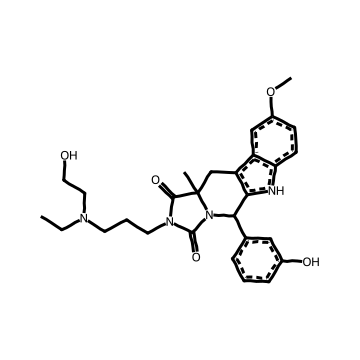 CCN(CCO)CCCN1C(=O)N2C(c3cccc(O)c3)c3[nH]c4ccc(OC)cc4c3CC2(C)C1=O